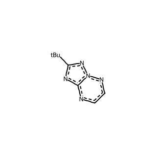 CC(C)(C)c1nc2nccnn2n1